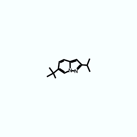 CC(C)c1cc2ccc(C(C)(C)C)cn2n1